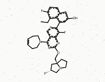 CCc1c(F)ccc2cc(O)cc(-c3ncc4c(N5CCC=CCC5)nc(OC[C@@]56CCCN5C[C@H](F)C6)nc4c3F)c12